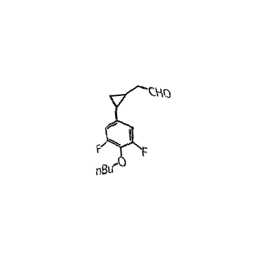 CCCCOc1c(F)cc(C2CC2CC=O)cc1F